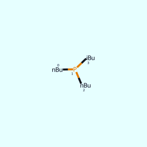 CCCCP(CCCC)C(C)CC